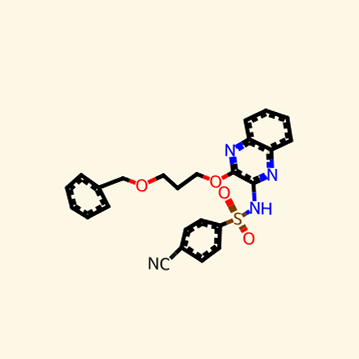 N#Cc1ccc(S(=O)(=O)Nc2nc3ccccc3nc2OCCCOCc2ccccc2)cc1